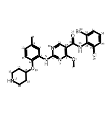 COc1nc(Nc2cc(C)ccc2OC2CCNCC2)ncc1C(=O)Nc1c(Cl)cccc1Br